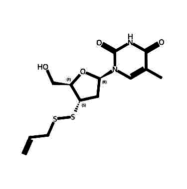 C=CCSS[C@H]1C[C@H](n2cc(C)c(=O)[nH]c2=O)O[C@@H]1CO